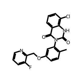 Cc1ccc(OCc2ncccc2F)cc1-n1c(=O)[nH]c2c(Cl)cccc2c1=O